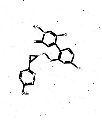 COc1ccc([C@H]2C[C@@H]2COc2nc(C)ncc2-c2cc(=O)n(C)cc2Cl)nc1